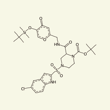 CC(C)(C)OC(=O)N1CCN(S(=O)(=O)c2cc3cc(Cl)ccc3[nH]2)CC1C(=O)NCc1cc(=O)c(O[Si](C)(C)C(C)(C)C)co1